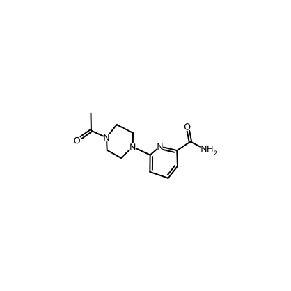 CC(=O)N1CCN(c2cc[c]c(C(N)=O)n2)CC1